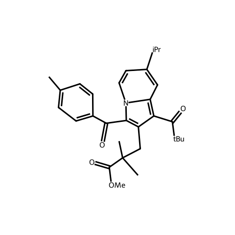 COC(=O)C(C)(C)Cc1c(C(=O)C(C)(C)C)c2cc(C(C)C)ccn2c1C(=O)c1ccc(C)cc1